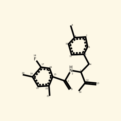 C=C(NC(Cc1ccc(C)cc1)C(=C)C)c1cc(F)c(C)cc1C